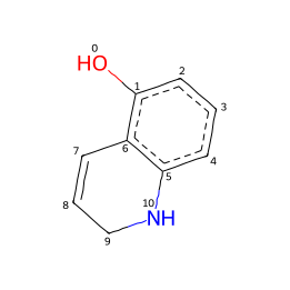 Oc1cccc2c1C=CCN2